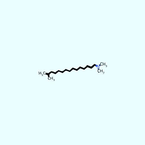 C=C(C)CCCCCCCCCCCCCN(C)C